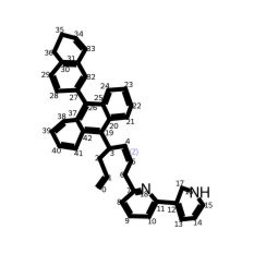 C=CCC(/C=C\Cc1cccc(C2=CC=CNC2)n1)c1c2ccccc2c(-c2ccc3c(c2)C=CCC3)c2ccccc12